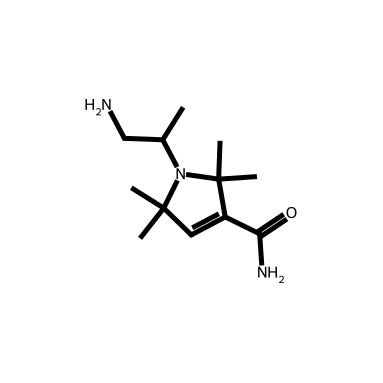 CC(CN)N1C(C)(C)C=C(C(N)=O)C1(C)C